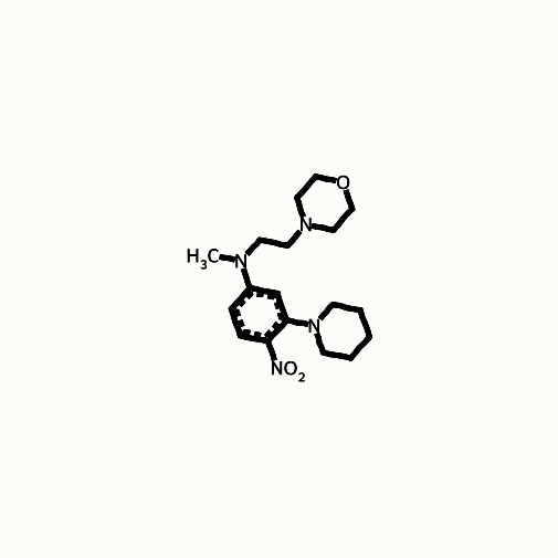 CN(CCN1CCOCC1)c1ccc([N+](=O)[O-])c(N2CCCCC2)c1